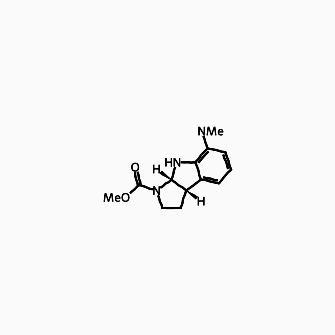 CNc1cccc2c1N[C@@H]1[C@H]2CCN1C(=O)OC